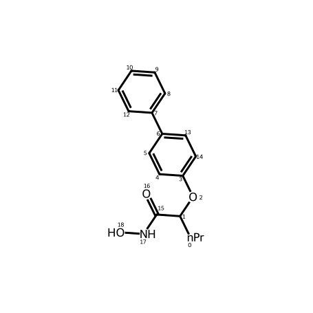 CCCC(Oc1ccc(-c2ccccc2)cc1)C(=O)NO